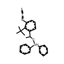 CC(O[SiH](c1ccccc1)c1ccccc1)c1cccc(N=C=S)c1C(C)(C)C